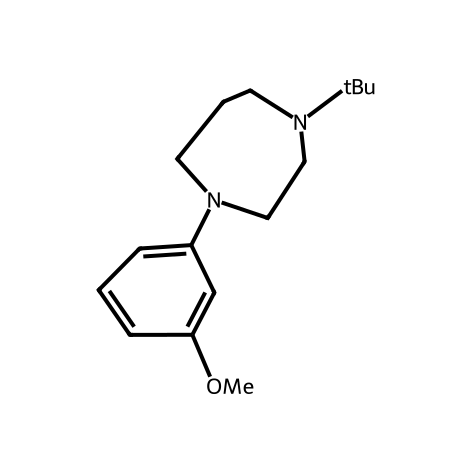 COc1cccc(N2CCCN(C(C)(C)C)CC2)c1